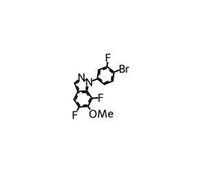 COc1c(F)cc2cnn(-c3ccc(Br)c(F)c3)c2c1F